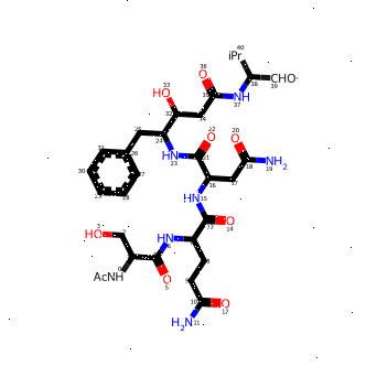 CC(=O)NC(CO)C(=O)NC(CCC(N)=O)C(=O)NC(CC(N)=O)C(=O)NC(Cc1ccccc1)C(O)CC(=O)NC([C]=O)C(C)C